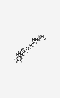 O=C(COCCOCCNCP)On1nnc2ccccc21